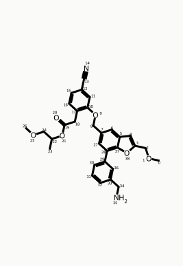 COCc1cc2cc(COc3cc(C#N)ccc3CC(=O)OC(C)COC)cc(-c3cccc(CN)c3)c2o1